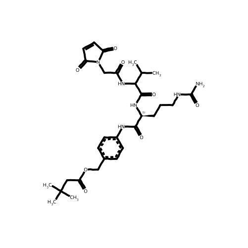 CC(C)C(NC(=O)CN1C(=O)C=CC1=O)C(=O)N[C@@H](CCCNC(N)=O)C(=O)Nc1ccc(COC(=O)CC(C)(C)C)cc1